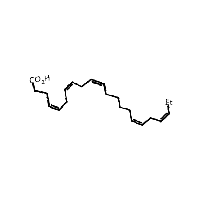 CC/C=C\C/C=C\CCCC/C=C\C/C=C\C/C=C\CCC(=O)O